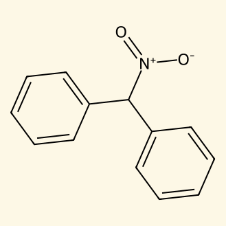 O=[N+]([O-])C(c1ccccc1)c1ccccc1